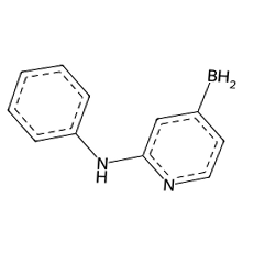 Bc1ccnc(Nc2ccccc2)c1